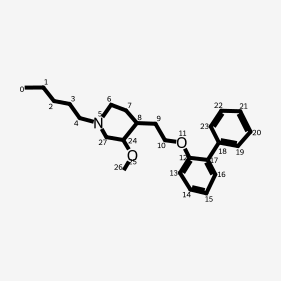 CCCCCN1CCC(CCOc2ccccc2-c2ccccc2)C(OC)C1